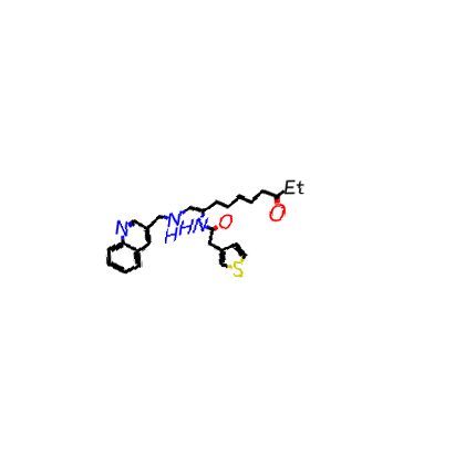 CCC(=O)CCCCCC(CNCc1cnc2ccccc2c1)NC(=O)Cc1ccsc1